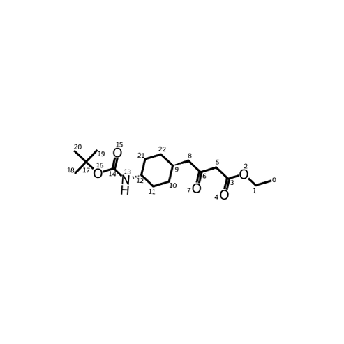 CCOC(=O)CC(=O)C[C@H]1CC[C@H](NC(=O)OC(C)(C)C)CC1